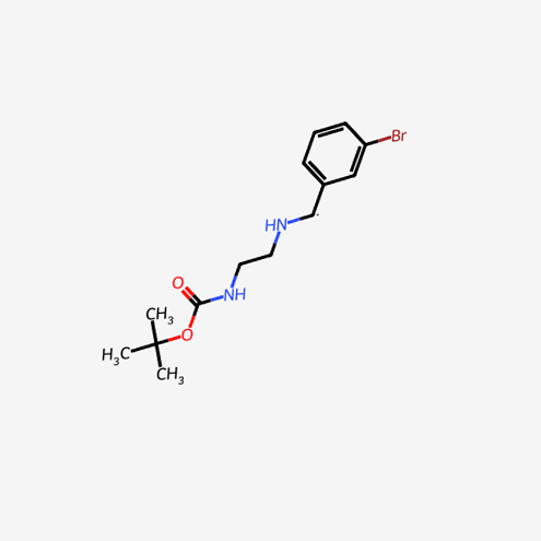 CC(C)(C)OC(=O)NCCN[CH]c1cccc(Br)c1